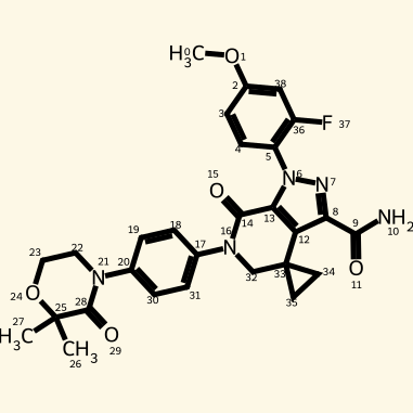 COc1ccc(-n2nc(C(N)=O)c3c2C(=O)N(c2ccc(N4CCOC(C)(C)C4=O)cc2)CC32CC2)c(F)c1